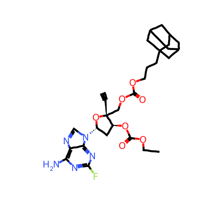 C#C[C@]1(COC(=O)OCCCC23CC4CC(CC(C4)C2)C3)O[C@@H](n2cnc3c(N)nc(F)nc32)C[C@@H]1OC(=O)OCC